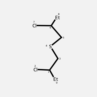 CCC(Cl)CSCC(Cl)CC